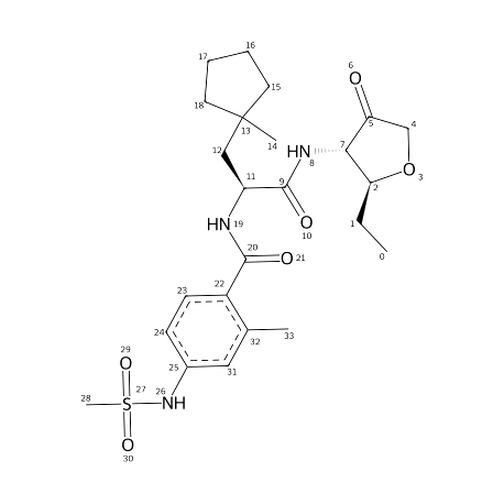 CC[C@@H]1OCC(=O)[C@H]1NC(=O)[C@H](CC1(C)CCCC1)NC(=O)c1ccc(NS(C)(=O)=O)cc1C